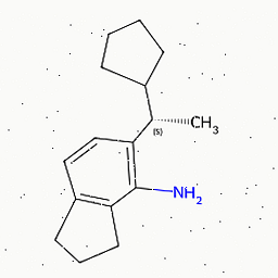 C[C@H](c1ccc2c(c1N)CCC2)C1CCCC1